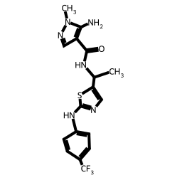 CC(NC(=O)c1cnn(C)c1N)c1cnc(Nc2ccc(C(F)(F)F)cc2)s1